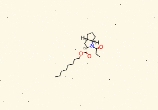 CCCCCCCCOC(=O)[C@@H]1C[C@@H]2CCC[C@@H]2N1C(=O)CC